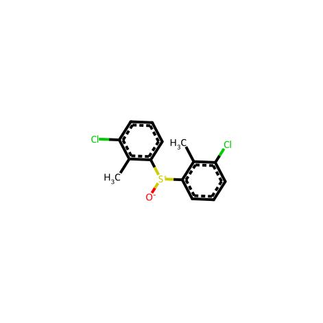 Cc1c(Cl)cccc1[S+]([O-])c1cccc(Cl)c1C